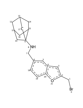 BrCc1cc2cc(CNC34CC5CC(CC3C5)C4)ccc2o1